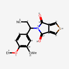 CCOc1ccc(C(CC#N)N2C(=O)c3cscc3C2=O)cc1OC